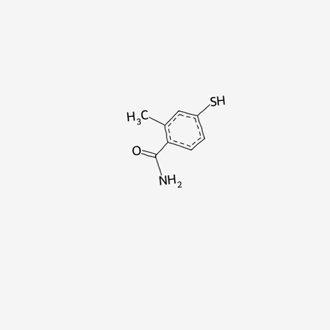 Cc1cc(S)ccc1C(N)=O